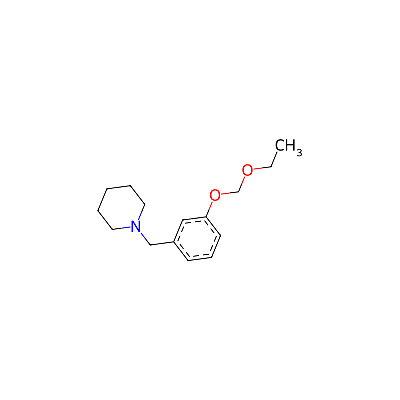 CCOCOc1cccc(CN2CCCCC2)c1